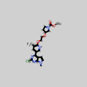 Cn1ccc2c(-c3cnc(OCCO[C@H]4CCN(C(=O)OC(C)(C)C)C4)c(C(F)(F)F)c3)nc(Cl)nc21